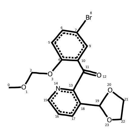 COCOc1ccc(Br)cc1C(=O)c1ncccc1C1OCCO1